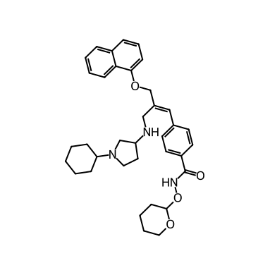 O=C(NOC1CCCCO1)c1ccc(C=C(CNC2CCN(C3CCCCC3)C2)COc2cccc3ccccc23)cc1